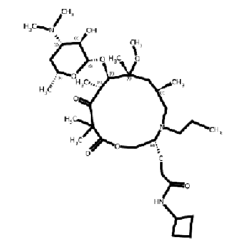 CCCN1C[C@H](C)C[C@@](C)(OC)[C@H](O[C@@H]2O[C@H](C)C[C@H](N(C)C)[C@H]2O)[C@@H](C)C(=O)C(C)(C)C(=O)OC[C@H]1CCC(=O)NC1CCC1